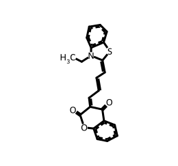 CCN1C(=CC=CC=C2C(=O)Oc3ccccc3C2=O)Sc2ccccc21